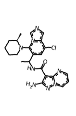 CC(NC(=O)c1c(N)nn2cccnc12)c1cc(Cl)c2cncn2c1N1CCCC[C@H]1C